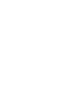 FC(F)=C(F)C(F)(F)OC(F)(F)C(F)(OC(F)(F)F)C(F)(F)F